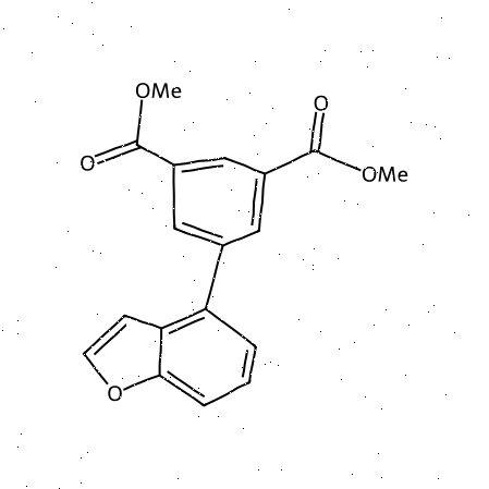 COC(=O)c1cc(C(=O)OC)cc(-c2cccc3occc23)c1